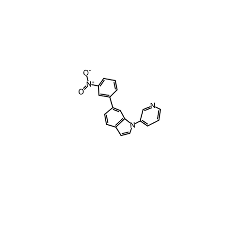 O=[N+]([O-])c1cccc(-c2ccc3ccn(-c4cccnc4)c3c2)c1